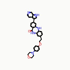 O=C1Nc2cc(CCOc3ccc(N4CCOCC4)cc3)ccc2Nc2cc(-c3c[nH]c4cnccc34)ccc21